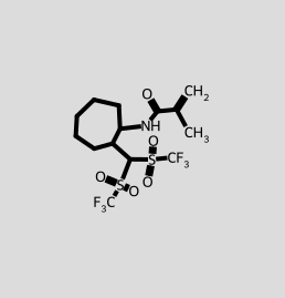 C=C(C)C(=O)NC1CCCCCC1C(S(=O)(=O)C(F)(F)F)S(=O)(=O)C(F)(F)F